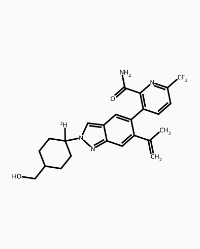 [2H]C1(n2cc3cc(-c4ccc(C(F)(F)F)nc4C(N)=O)c(C(=C)C)cc3n2)CCC(CO)CC1